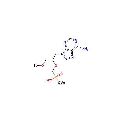 CCOCC(Cn1cnc2c(N)ncnc21)OCP(=O)(O)OC